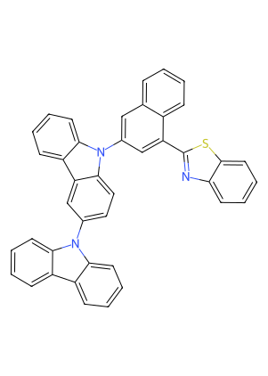 c1ccc2c(-c3nc4ccccc4s3)cc(-n3c4ccccc4c4cc(-n5c6ccccc6c6ccccc65)ccc43)cc2c1